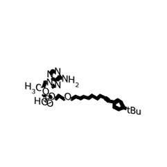 C[C@H](Cn1cnc2c(N)ncnc21)OCP(=O)(O)OCCCOCCCCCCCCC#Cc1ccc(C(C)(C)C)cc1